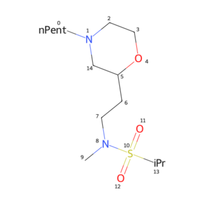 CCCCCN1CCOC(CCN(C)S(=O)(=O)C(C)C)C1